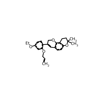 C=CCOc1cc(OCC)ccc1C1=Cc2ccc3c(c2OC1)CCC(C)(C)O3